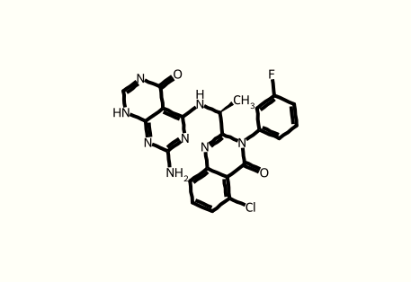 C[C@H](Nc1nc(N)nc2[nH]cnc(=O)c12)c1nc2cccc(Cl)c2c(=O)n1-c1cccc(F)c1